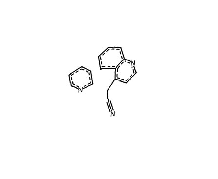 N#CCc1ccnc2ccccc12.c1ccncc1